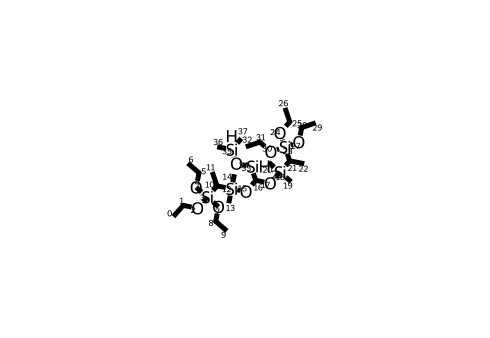 CCO[Si](OCC)(OCC)C(C)[Si](C)(C)OC(O[Si](C)(C)C(C)[Si](OCC)(OCC)OCC)[SiH2]O[SiH](C)C